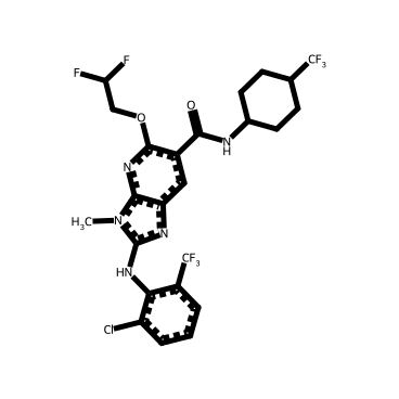 Cn1c(Nc2c(Cl)cccc2C(F)(F)F)nc2cc(C(=O)NC3CCC(C(F)(F)F)CC3)c(OCC(F)F)nc21